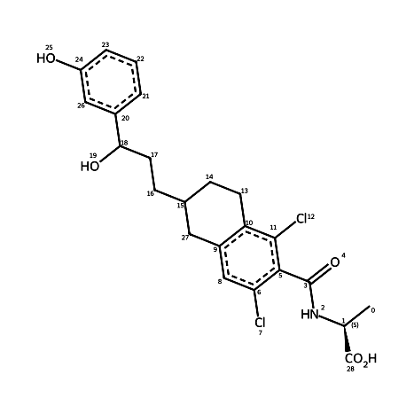 C[C@H](NC(=O)c1c(Cl)cc2c(c1Cl)CCC(CCC(O)c1cccc(O)c1)C2)C(=O)O